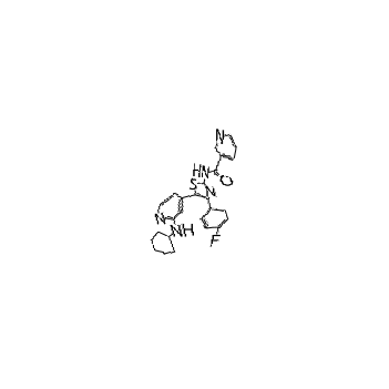 O=C(Nc1nc(-c2ccc(F)cc2)c(-c2ccnc(NC3CCCCC3)c2)s1)c1cccnc1